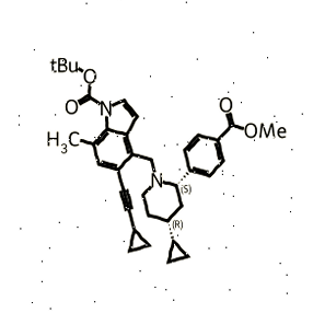 COC(=O)c1ccc([C@@H]2C[C@H](C3CC3)CCN2Cc2c(C#CC3CC3)cc(C)c3c2ccn3C(=O)OC(C)(C)C)cc1